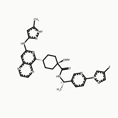 CO[C@]1(C(=O)N[C@@H](C)c2ccc(-n3cc(F)cn3)nc2)CC[C@@H](c2nc(Nc3cc(C)[nH]n3)cc3nccnc32)CC1